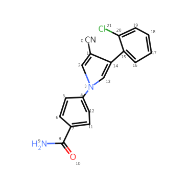 N#Cc1cn(-c2ccc(C(N)=O)cc2)cc1-c1ccccc1Cl